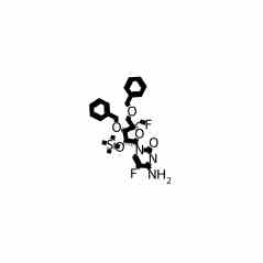 C[Si](C)(C)O[C@@H]1[C@H](n2cc(F)c(N)nc2=O)O[C@](CF)(COCc2ccccc2)[C@H]1OCc1ccccc1